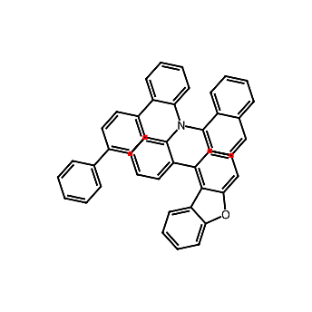 c1ccc(-c2ccc(-c3ccccc3N(c3ccccc3-c3cccc4oc5ccccc5c34)c3cccc4ccccc34)cc2)cc1